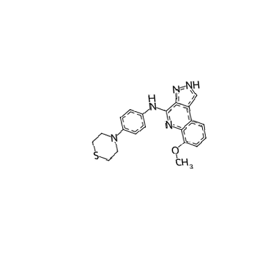 COc1cccc2c1nc(Nc1ccc(N3CCSCC3)cc1)c1n[nH]cc12